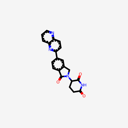 O=C1CCC(N2Cc3cc(-c4ccc5ncccc5n4)ccc3C2=O)C(=O)N1